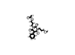 COCCCN1C(=O)C(c2ccccc2)C(=O)N(CCCOC(C)=O)C1=O